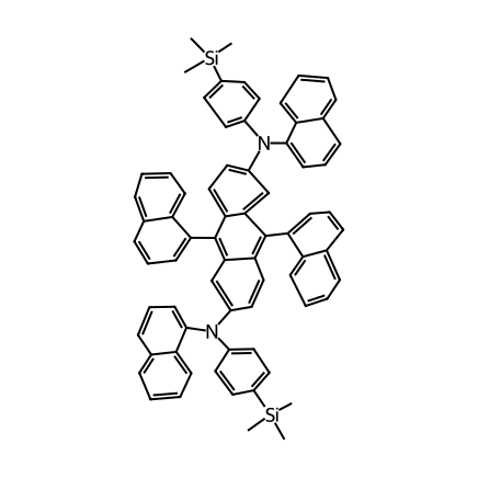 C[Si](C)(C)c1ccc(N(c2ccc3c(-c4cccc5ccccc45)c4cc(N(c5ccc([Si](C)(C)C)cc5)c5cccc6ccccc56)ccc4c(-c4cccc5ccccc45)c3c2)c2cccc3ccccc23)cc1